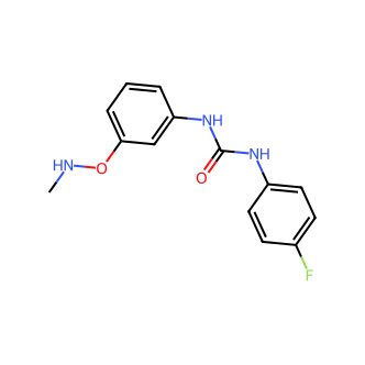 CNOc1cccc(NC(=O)Nc2ccc(F)cc2)c1